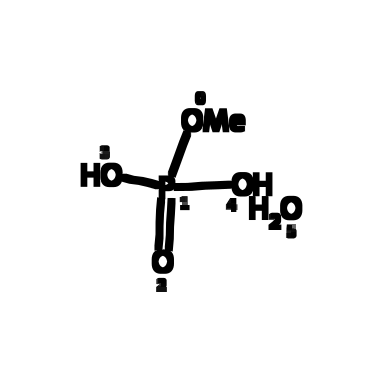 COP(=O)(O)O.O